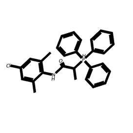 Cc1cc(Cl)cc(C)c1NC(=O)C(C)[PH](c1ccccc1)(c1ccccc1)c1ccccc1